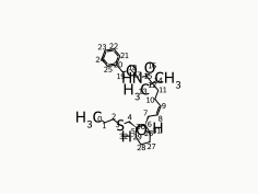 CCCSC[C@H]1[C@@H](C/C=C\CCC(C)(C)C(=O)NOCc2ccccc2)[C@H]2CC[C@@H]1O2